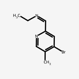 CC/N=C\c1cc(Br)c(C)cn1